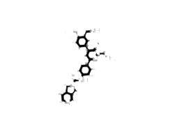 N=Cc1cc(-c2cc(-c3ccc(NC(=O)N4Cc5ccncc5C4)cc3)nn(CC(F)(F)F)c2=O)ccc1N